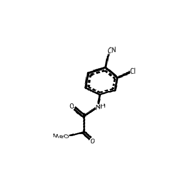 COC(=O)C(=O)Nc1ccc(C#N)c(Cl)c1